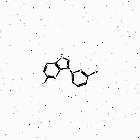 Clc1cnc2[nH]cc(-c3cccc(Br)n3)c2n1